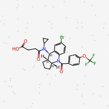 O=C(O)CCC(=O)N(C1CC1)[C@H]1c2cc(Br)ccc2N(C(=O)c2ccc(OC(F)(F)F)cc2)[C@@H]2CCC[C@@H]21